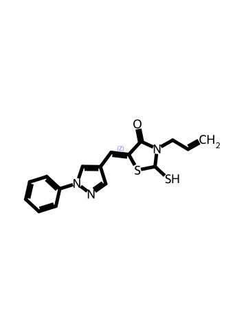 C=CCN1C(=O)/C(=C/c2cnn(-c3ccccc3)c2)SC1S